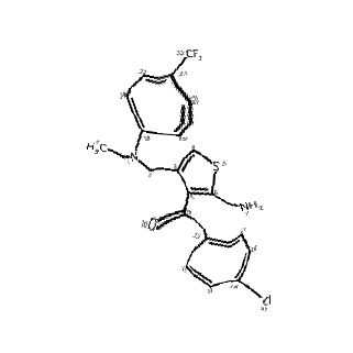 CN(Cc1csc(N)c1C(=O)c1ccc(Cl)cc1)c1ccc(C(F)(F)F)cc1